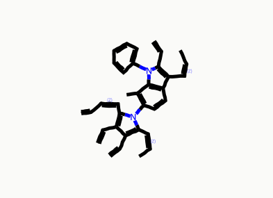 C=C/C=C\c1c(C=C)c(C=C)c(/C=C\C)n1-c1ccc2c(/C=C\C)c(C=C)n(-c3ccccc3)c2c1C